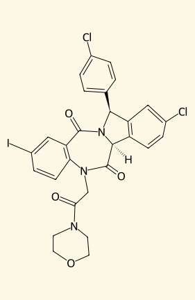 O=C(CN1C(=O)[C@@H]2c3ccc(Cl)cc3[C@H](c3ccc(Cl)cc3)N2C(=O)c2cc(I)ccc21)N1CCOCC1